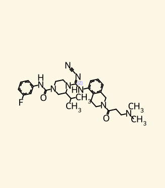 CC(C)C1CN(C(=O)Nc2cccc(F)c2)CCN1/C(=N\C#N)Nc1cccc2c1CCN(C(=O)CCN(C)C)C2